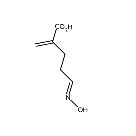 C=C(CCC=NO)C(=O)O